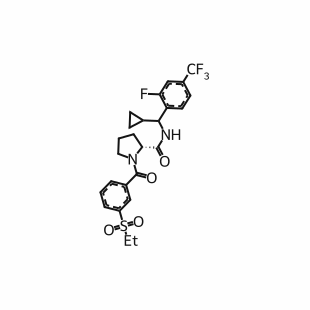 CCS(=O)(=O)c1cccc(C(=O)N2CCC[C@@H]2C(=O)NC(c2ccc(C(F)(F)F)cc2F)C2CC2)c1